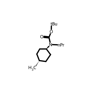 CCCN(C(=O)OC(C)(C)C)[C@H]1CC[C@H](C)CC1